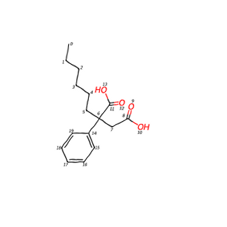 CCCCCCC(CC(=O)O)(C(=O)O)c1ccccc1